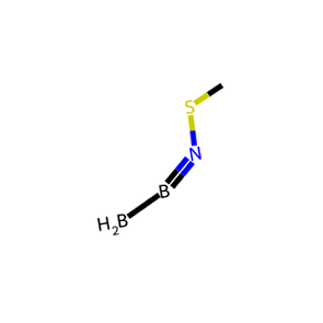 BB=NSC